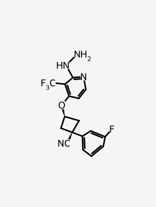 N#C[C@]1(c2cccc(F)c2)C[C@H](Oc2ccnc(NN)c2C(F)(F)F)C1